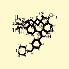 [2H]C([2H])([2H])n1ncc2cc(-c3c(-c4ccc(CN5CCOCC5)cc4)[nH]c4ncc5c(c34)C3(CC4(CN(S(=O)(=O)CC)C4)C3)C(=O)N5C)ccc21